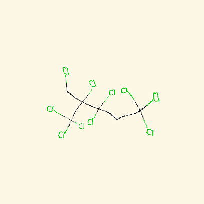 ClCC(Cl)(C(Cl)(Cl)Cl)C(Cl)(Cl)CC(Cl)(Cl)Cl